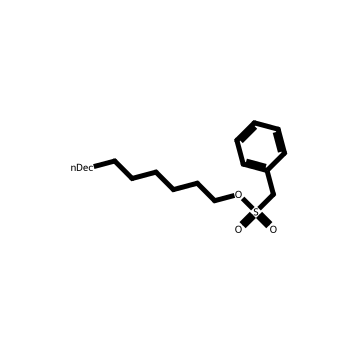 CCCCCCCCCCCCCCCCOS(=O)(=O)Cc1ccccc1